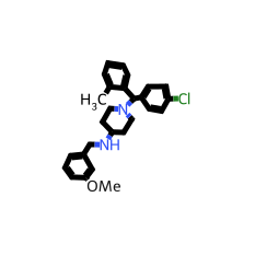 COc1cccc(CNC2CCN(C(c3ccc(Cl)cc3)c3ccccc3C)CC2)c1